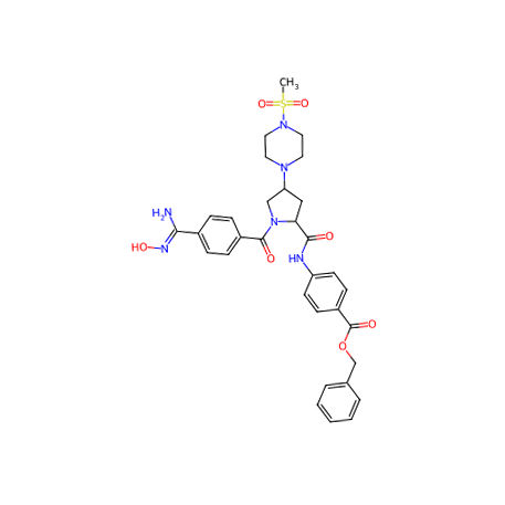 CS(=O)(=O)N1CCN(C2CC(C(=O)Nc3ccc(C(=O)OCc4ccccc4)cc3)N(C(=O)c3ccc(C(N)=NO)cc3)C2)CC1